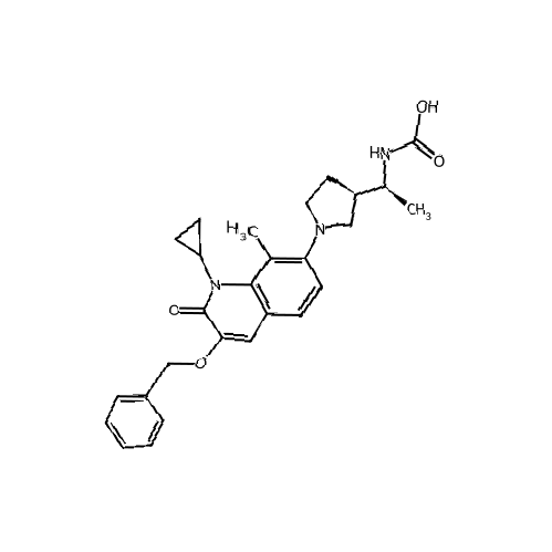 Cc1c(N2CC[C@@H]([C@H](C)NC(=O)O)C2)ccc2cc(OCc3ccccc3)c(=O)n(C3CC3)c12